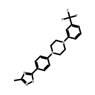 Cc1nsc(-c2ccc(N3CCN(c4cccc(C(F)(F)F)c4)CC3)cc2)n1